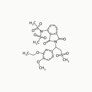 CCOc1cc(C(CS(C)(=O)=O)N2C(=O)c3cccc(N(S(C)(=O)=O)S(C)(=O)=O)c3C2=O)ccc1OC